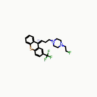 FCCN1CCN(CC/C=C2/c3ccccc3Sc3ccc(C(F)(F)F)cc32)CC1